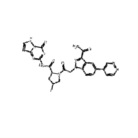 NC(=O)c1nn(CC(=O)N2CC(F)CC2C(=O)Nc2nc(=O)n3[nH]cnc3n2)c2ccc(-c3ccnnc3)cc12